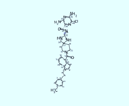 Cc1ccc(CCn2ccc3c(C(=O)N4CCC5(CC4)CN/C(=N\C(=O)c4nc(Cl)c(N)nc4N)N5)cccc32)cc1